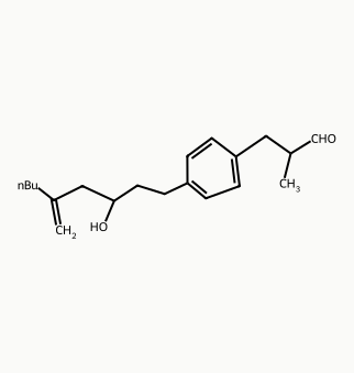 C=C(CCCC)CC(O)CCc1ccc(CC(C)C=O)cc1